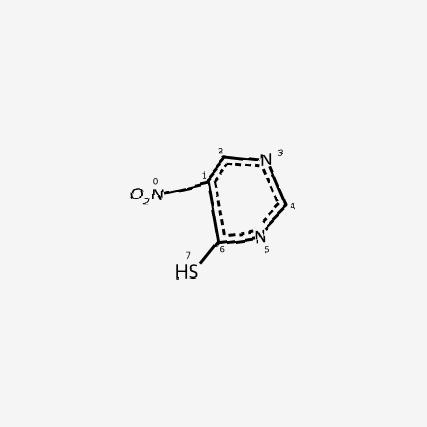 O=[N+]([O-])c1cncnc1S